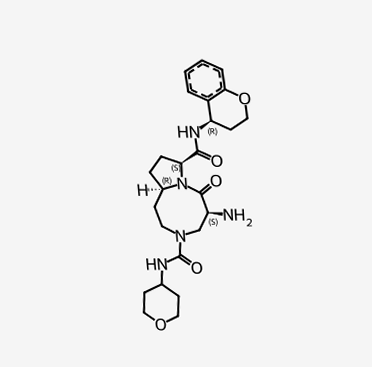 N[C@H]1CN(C(=O)NC2CCOCC2)CC[C@H]2CC[C@@H](C(=O)N[C@@H]3CCOc4ccccc43)N2C1=O